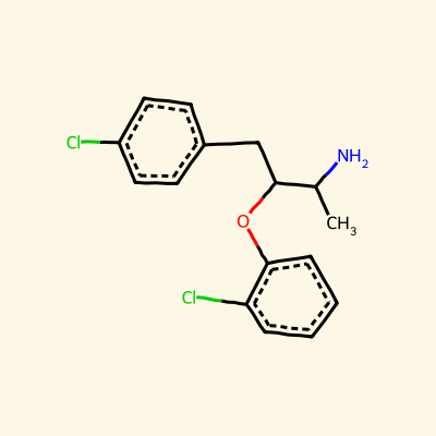 CC(N)C(Cc1ccc(Cl)cc1)Oc1ccccc1Cl